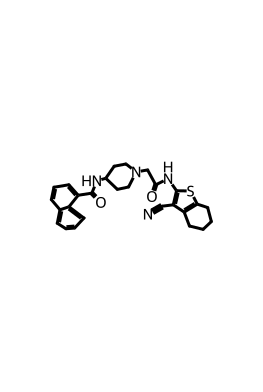 N#Cc1c(NC(=O)CN2CCC(NC(=O)c3cccc4ccccc34)CC2)sc2c1CCCC2